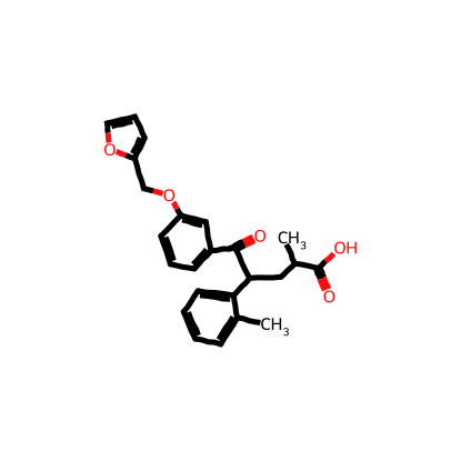 Cc1ccccc1C(CC(C)C(=O)O)C(=O)c1cccc(OCc2ccco2)c1